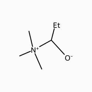 CCC([O-])[N+](C)(C)C